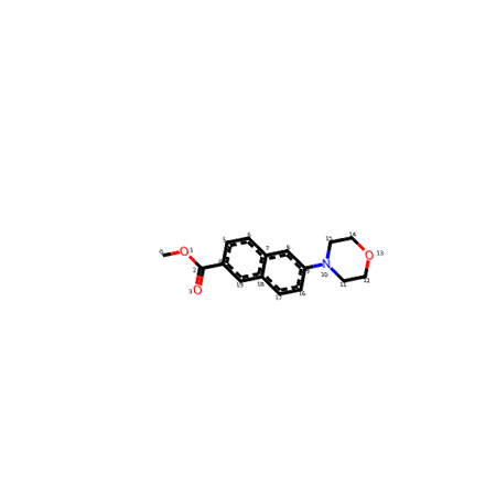 COC(=O)c1ccc2cc(N3CCOCC3)ccc2c1